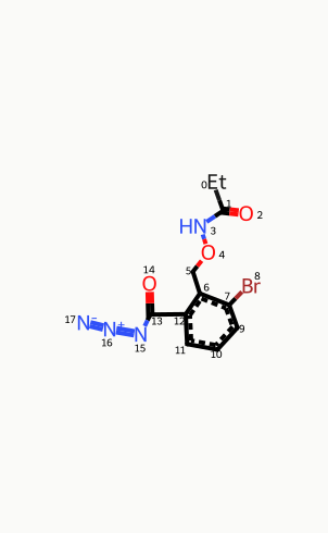 CCC(=O)NOCc1c(Br)cccc1C(=O)N=[N+]=[N-]